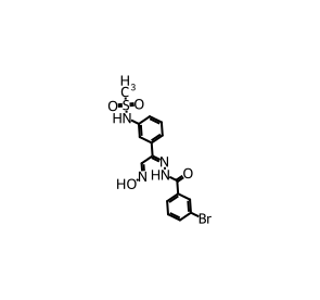 CS(=O)(=O)Nc1cccc(C(C=NO)=NNC(=O)c2cccc(Br)c2)c1